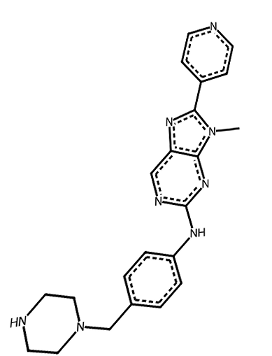 Cn1c(-c2ccncc2)nc2cnc(Nc3ccc(CN4CCNCC4)cc3)nc21